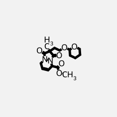 COC(=O)C1C=CCN2C(=O)C(C)(CCOC3CCCCO3)C(=O)N12